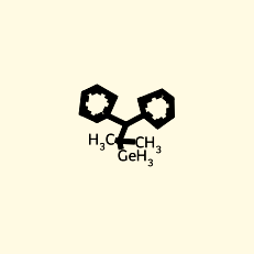 C[C](C)([GeH3])C(c1ccccc1)c1ccccc1